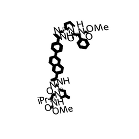 C=C1C[C@@H](c2ncc(-c3ccc4cc(-c5ccc(-c6cnc([C@@H]7CCCN7C(=O)[C@H](NC(=O)OC)c7ccccc7)[nH]6)cc5)ccc4c3)[nH]2)N(C(=O)[C@@H](NC(=O)OC)C(C)C)C1